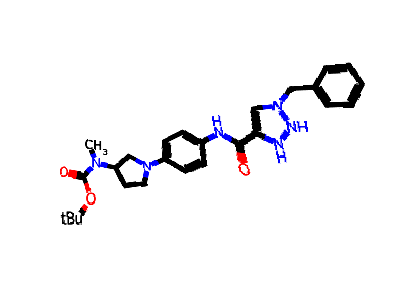 CN(C(=O)OC(C)(C)C)C1CCN(c2ccc(NC(=O)C3=CN(Cc4ccccc4)NN3)cc2)C1